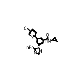 CCCc1ncnn1-c1cc(C(=O)NC2CC2)cc(-c2ccc(Cl)cn2)c1